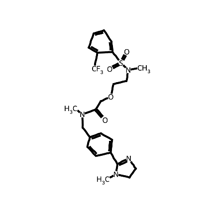 CN(Cc1ccc(C2=NCCN2C)cc1)C(=O)COCCN(C)S(=O)(=O)c1ccccc1C(F)(F)F